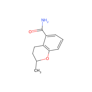 CC1CCc2c(cccc2C(N)=O)O1